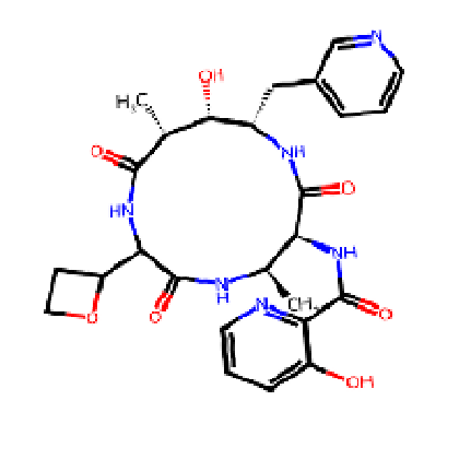 C[C@H]1NC(=O)C(C2CCO2)NC(=O)[C@H](C)[C@H](O)[C@H](Cc2cccnc2)NC(=O)[C@H]1NC(=O)c1ncccc1O